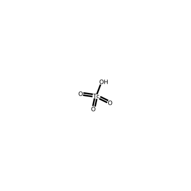 [O]=[Tc](=[O])(=[O])[OH]